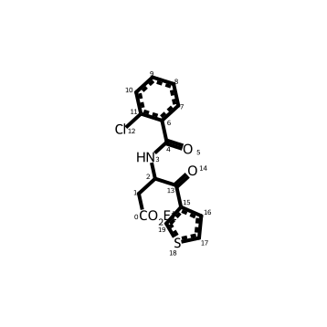 CCOC(=O)CC(NC(=O)c1ccccc1Cl)C(=O)c1ccsc1